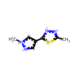 Cc1nnc(-c2cnn(C)c2)s1